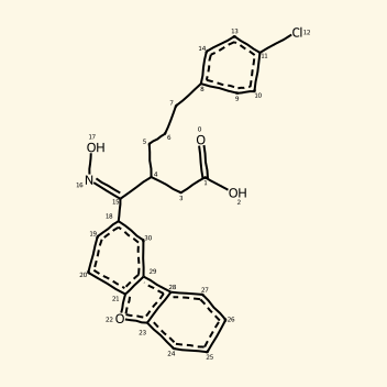 O=C(O)CC(CCCc1ccc(Cl)cc1)C(=NO)c1ccc2oc3ccccc3c2c1